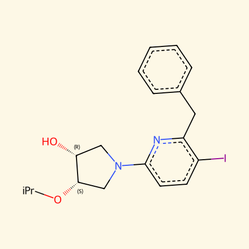 CC(C)O[C@H]1CN(c2ccc(I)c(Cc3ccccc3)n2)C[C@H]1O